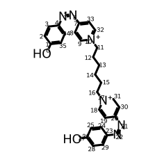 Oc1ccc(/N=N\c2cc[n+](CCCCCC[n+]3ccc(/N=N\c4ccc(O)cc4)cc3)cc2)cc1